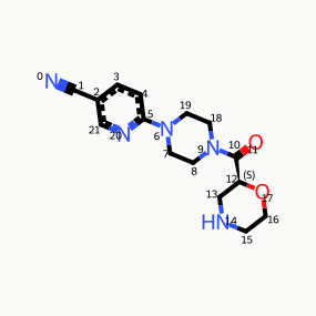 N#Cc1ccc(N2CCN(C(=O)[C@@H]3CNCCO3)CC2)nc1